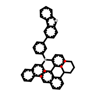 c1cc(-c2ccc3oc4ccccc4c3c2)cc(N(c2ccc3ccccc3c2)c2ccccc2-c2cccc3cccc(C4CCCCC4)c23)c1